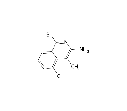 Cc1c(N)nc(Br)c2cccc(Cl)c12